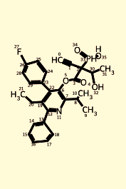 C#CC(C(=O)Oc1c(C(C)C)nc(-c2ccccc2)c(CC)c1-c1ccc(F)cc1)(C(C)O)[PH](=O)O